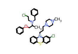 CC(COc1ccccc1)N(CCCl)Cc1ccccc1.CN1CCN(CCCN2c3ccccc3Sc3ccc(Cl)cc32)CC1